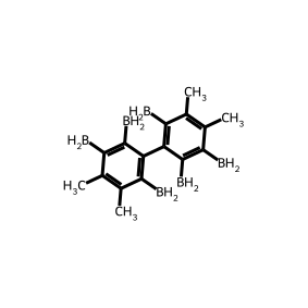 Bc1c(B)c(-c2c(B)c(B)c(C)c(C)c2B)c(B)c(C)c1C